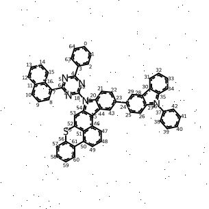 c1ccc(-c2nc(-c3cccc4ccccc34)nc(-n3c4ccc(-c5ccc6c(c5)c5ccccc5n6-c5ccccc5)cc4c4c5cccc6c5c(cc43)Sc3ccccc3-6)n2)cc1